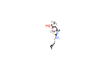 C[C@H](O)[C@H]1CC[C@H]2N=C(NCCC3CC3)S[C@H]2O1